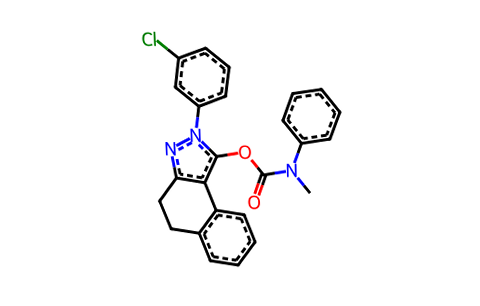 CN(C(=O)Oc1c2c(nn1-c1cccc(Cl)c1)CCc1ccccc1-2)c1ccccc1